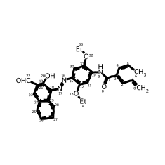 C=C/C=C(\C=C/C)C(=O)Nc1cc(OCC)c(/N=N/c2c(O)c(C=O)cc3ccccc23)cc1OCC